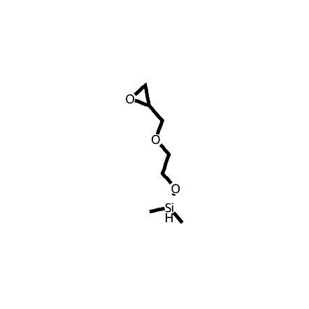 C[SiH](C)OCCOCC1CO1